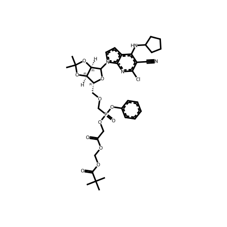 CC1(C)O[C@@H]2[C@@H](COCP(=O)(OCC(=O)OCOC(=O)C(C)(C)C)Oc3ccccc3)OC(n3ccc4c(NC5CCCC5)c(C#N)c(Cl)nc43)[C@@H]2O1